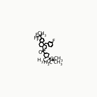 C[C@H]1CC(C(=O)N2CCC3(Cc4cccc(F)c4)c4ccc(C(C)(F)C(F)(F)F)cc4CCC23)=CC[C@H]1C(=O)OC(C)(C)C